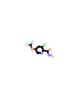 NC(=O)c1ncc(OC(F)F)cc1Cl